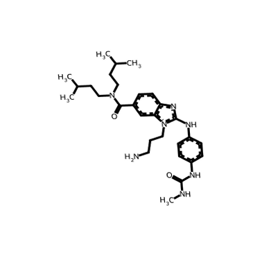 CNC(=O)Nc1ccc(Nc2nc3ccc(C(=O)N(CCC(C)C)CCC(C)C)cc3n2CCCN)cc1